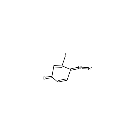 [N-]=[N+]=C1C=CC(=O)C=C1F